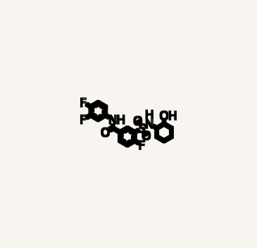 O=C(Nc1ccc(F)c(F)c1)c1ccc(F)c(S(=O)(=O)NC2CCCCC2O)c1